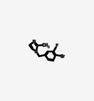 Cc1nccn1Cc1ccc(Br)c(F)c1